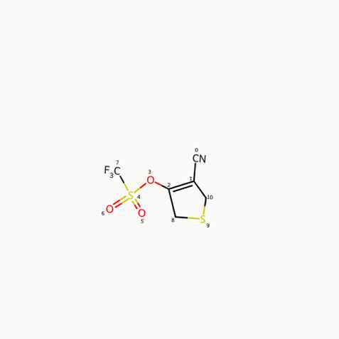 N#CC1=C(OS(=O)(=O)C(F)(F)F)CSC1